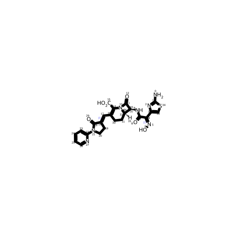 Nc1nc(/C(=N/O)C(=O)N[C@@H]2C(=O)N3C(C(=O)O)=C(/C=C4\CCN(c5ccccn5)C4=O)CC[C@H]23)cs1